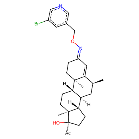 CC(=O)[C@@]1(O)CC[C@H]2[C@@H]3C[C@H](C)C4=C/C(=N/OCc5cncc(Br)c5)CC[C@]4(C)[C@H]3CC[C@@]21C